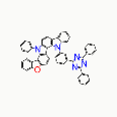 c1ccc(-c2nc(-c3ccccc3)nc(-c3cccc(-n4c5ccccc5c5ccc6c(c7ccc8oc9ccccc9c8c7n6-c6ccccc6)c54)c3)n2)cc1